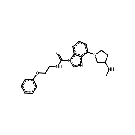 CNC1CCN(c2cccc3c2ncn3C(=O)NCCOc2ccccc2)C1